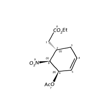 CCOC(=O)C[C@@H]1CC=C[C@@H](OC(C)=O)[C@H]1[N+](=O)[O-]